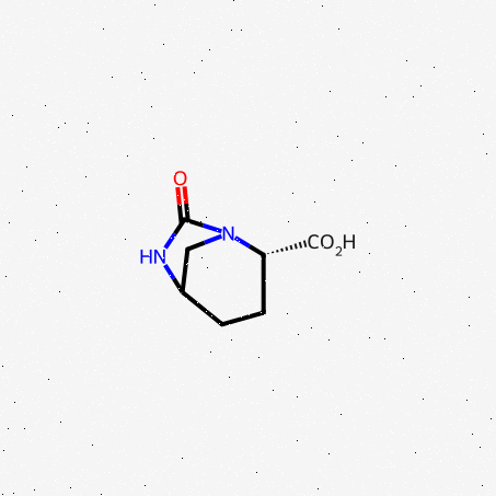 O=C(O)[C@@H]1CCC2CN1C(=O)N2